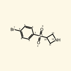 O=S(=O)(c1ccc(Br)cc1)C1CNC1